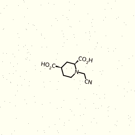 N#CCN1CC[C@@H](C(=O)O)C[C@H]1C(=O)O